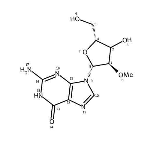 CO[C@@H]1C(O)[C@@H](CO)O[C@H]1n1cnc2c(=O)[nH]c(N)nc21